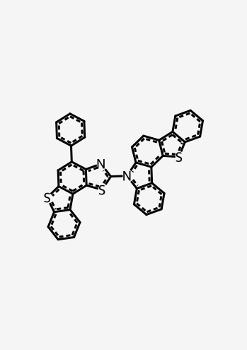 c1ccc(-c2cc3sc4ccccc4c3c3sc(-n4c5ccccc5c5c6sc7ccccc7c6ccc54)nc23)cc1